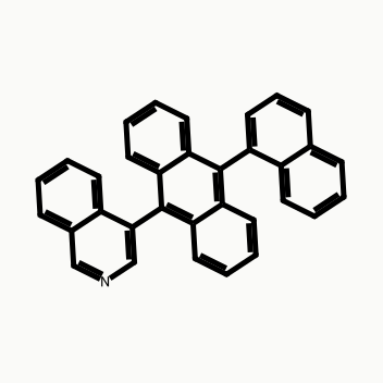 c1ccc2c(-c3c4ccccc4c(-c4cncc5ccccc45)c4ccccc34)cccc2c1